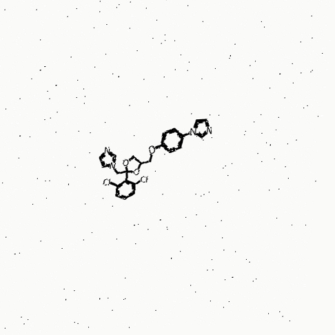 Clc1cccc(Cl)c1C1(Cn2ccnc2)OCC(COc2ccc(-n3ccnc3)cc2)O1